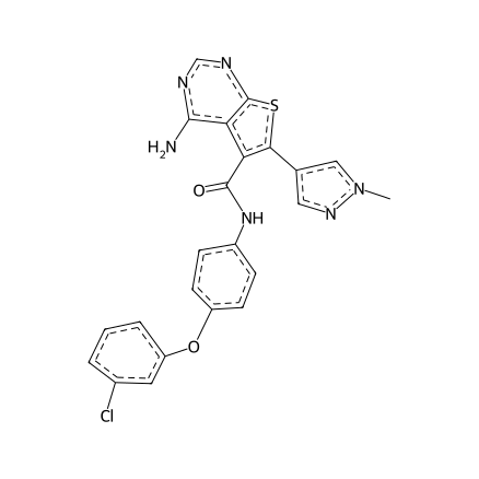 Cn1cc(-c2sc3ncnc(N)c3c2C(=O)Nc2ccc(Oc3cccc(Cl)c3)cc2)cn1